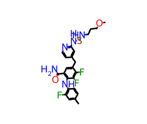 COCCCNSNc1cc(Cc2cc(C(N)=O)c(Nc3ccc(C)cc3F)c(F)c2F)ccn1